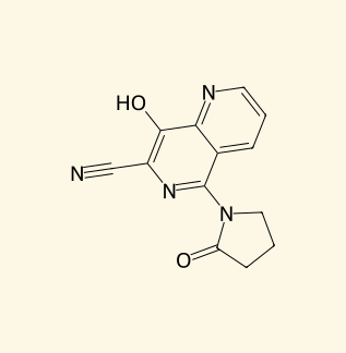 N#Cc1nc(N2CCCC2=O)c2cccnc2c1O